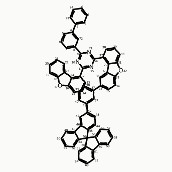 c1ccc(-c2cccc(-c3nc(-c4cccc5oc6ccccc6c45)nc(-c4cccc5oc6ccc(-c7cccc(-c8ccc9c(c8)-c8ccccc8C98c9ccccc9-c9ccccc98)c7)cc6c45)n3)c2)cc1